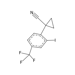 N#CC1(c2ccc(C(F)(F)F)cc2I)CC1